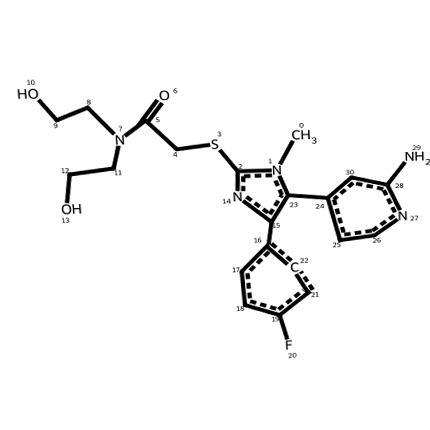 Cn1c(SCC(=O)N(CCO)CCO)nc(-c2ccc(F)cc2)c1-c1ccnc(N)c1